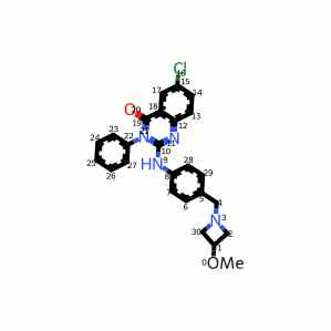 COC1CN(Cc2ccc(Nc3nc4ccc(Cl)cc4c(=O)n3-c3ccccc3)cc2)C1